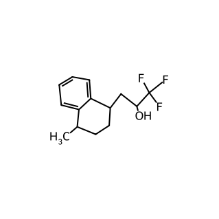 CC1CCC(CC(O)C(F)(F)F)c2ccccc21